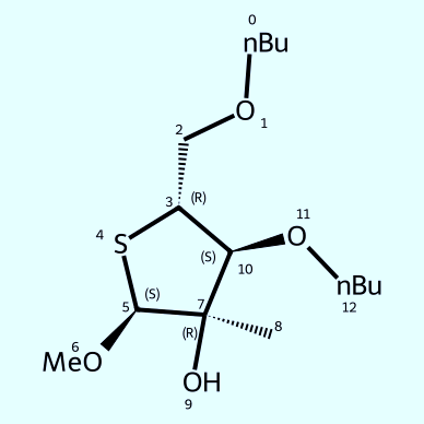 CCCCOC[C@H]1S[C@H](OC)[C@](C)(O)[C@@H]1OCCCC